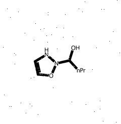 CCCC(O)N1NC=CO1